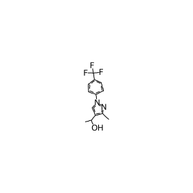 Cc1nn(-c2ccc(C(F)(F)F)cc2)cc1C(C)O